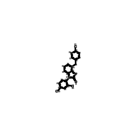 O=c1nc2n(Cc3ccc(Cl)nc3)cccc-2n1-c1ccc(Cl)cc1Cl